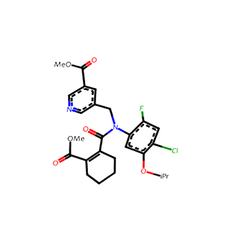 COC(=O)C1=C(C(=O)N(Cc2cncc(C(=O)OC)c2)c2cc(OC(C)C)c(Cl)cc2F)CCCC1